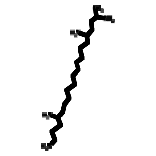 CC(N)CCC(N)CCCCCCCCCCCC(N)CCCN